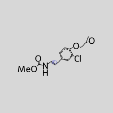 COC(=O)N/C=C/c1ccc(OCC2CO2)c(Cl)c1